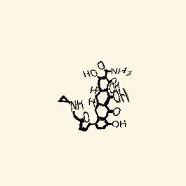 NC(=O)C1=C(O)C[C@@H]2C[C@@H]3Cc4c(-c5ccc(CNC6CC6)o5)ccc(O)c4C(=O)C3=C(O)[C@]2(O)C1=O